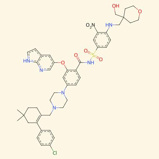 CC1(C)CCC(CN2CCN(c3ccc(C(=O)NS(=O)(=O)c4ccc(NCC5(CO)CCOCC5)c([N+](=O)[O-])c4)c(Oc4cnc5[nH]ccc5c4)c3)CC2)=C(c2ccc(Cl)cc2)C1